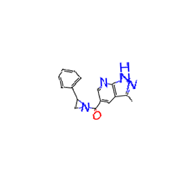 Cc1n[nH]c2ncc(C(=O)N3CC3c3ccccc3)cc12